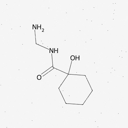 NCNC(=O)C1(O)CCCCC1